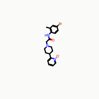 Cc1cc(Br)ccc1NC(=O)CN1CCC(c2cccc[n+]2[O-])CC1